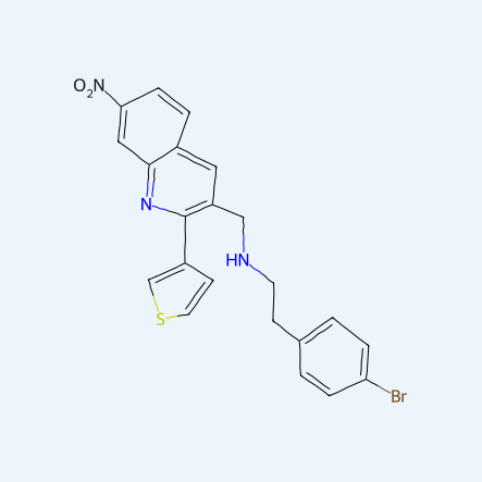 O=[N+]([O-])c1ccc2cc(CNCCc3ccc(Br)cc3)c(-c3ccsc3)nc2c1